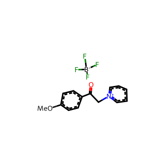 COc1ccc(C(=O)C[n+]2ccccc2)cc1.F[B-](F)(F)F